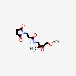 CCCOCC1OC1(C)CNC(=O)CCN1C(=O)C=CC1=O